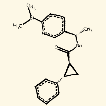 C[C@H](NC(=O)[C@H]1C[C@@H]1c1ccccc1)c1ccc(N(C)C)nc1